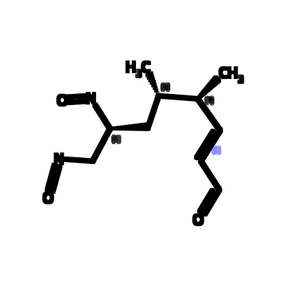 C[C@@H](/C=C/C=O)[C@@H](C)C[C@@H](CN=O)N=O